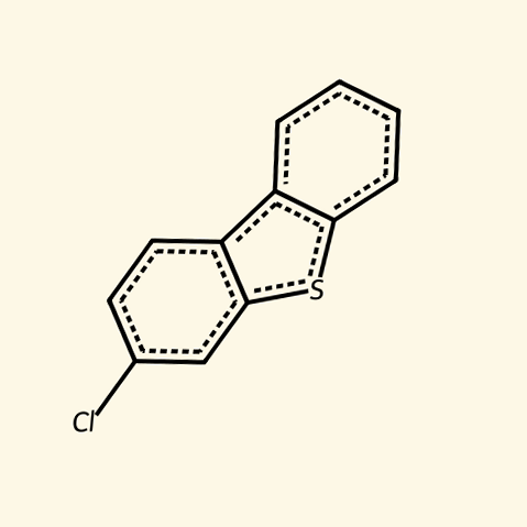 Clc1ccc2c(c1)sc1ccccc12